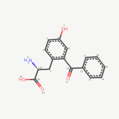 N[C@@H](Cc1ccc(O)cc1C(=O)c1ccccc1)C(=O)O